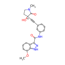 COc1cccc2c(C(=O)Nc3cccc(C#C[C@]4(O)CCN(C)C4=O)c3)n[nH]c12